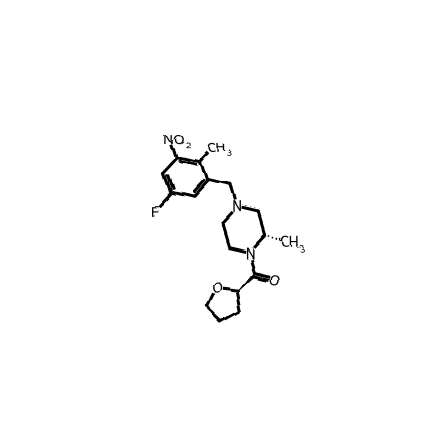 Cc1c(CN2CCN(C(=O)[C@H]3CCCO3)[C@@H](C)C2)cc(F)cc1[N+](=O)[O-]